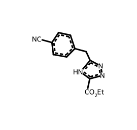 CCOC(=O)c1nnc(Cc2ccc(C#N)cc2)[nH]1